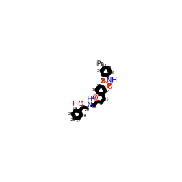 CC(C)c1ccc(NS(=O)(=O)c2ccc3c(c2)CCC(CNCC(O)c2ccccc2)O3)cc1